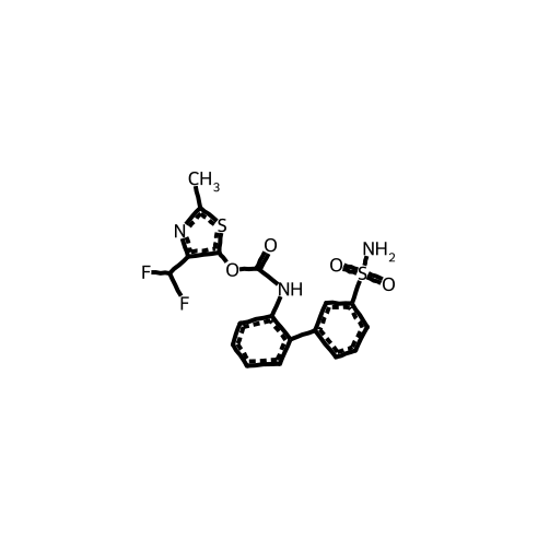 Cc1nc(C(F)F)c(OC(=O)Nc2ccccc2-c2cccc(S(N)(=O)=O)c2)s1